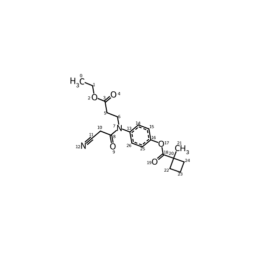 CCOC(=O)CCN(C(=O)CC#N)c1ccc(OC(=O)C2(C)CCC2)cc1